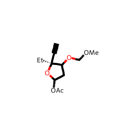 C#C[C@]1(CC)OC(OC(C)=O)CC1OCOC